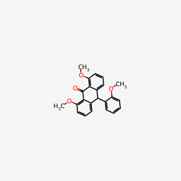 COc1ccccc1C1c2cccc(OC)c2C(=O)c2c(OC)cccc21